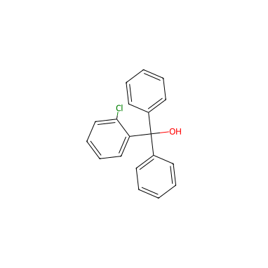 OC(c1ccccc1)(c1ccccc1)c1ccccc1Cl